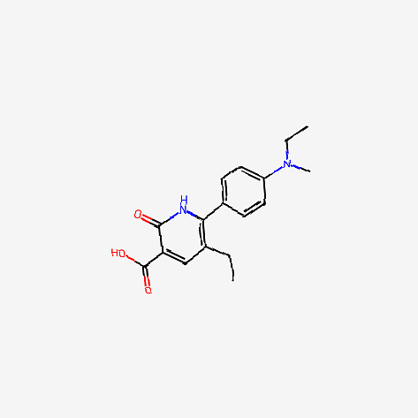 CCc1cc(C(=O)O)c(=O)[nH]c1-c1ccc(N(C)CC)cc1